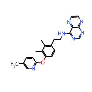 Cc1c(CCNc2ncnc3nccnc23)ccc(Oc2ccc(C(F)(F)F)cn2)c1C